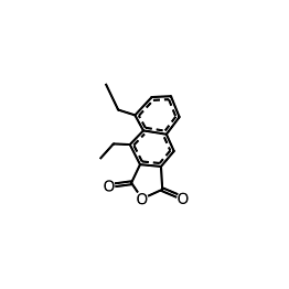 CCc1cccc2cc3c(c(CC)c12)C(=O)OC3=O